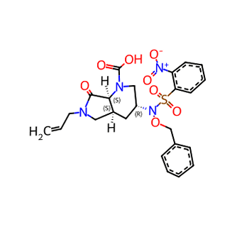 C=CCN1C[C@@H]2C[C@@H](N(OCc3ccccc3)S(=O)(=O)c3ccccc3[N+](=O)[O-])CN(C(=O)O)[C@@H]2C1=O